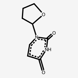 O=c1ccn(C2CCCO2)c(=O)[nH]1